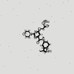 Cc1c[nH]c2ccc(N(C)C(=O)c3cc(OCC(=O)OC(C)(C)C)nc(N4CCOCC4)n3)cc12